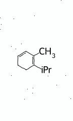 CC1=C(C(C)C)CCC=C1